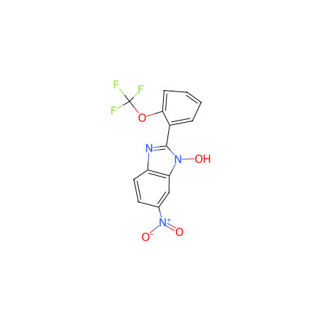 O=[N+]([O-])c1ccc2nc(-c3ccccc3OC(F)(F)F)n(O)c2c1